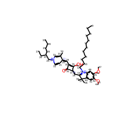 CCCCCCCCCCCC[N+]1=C(/C=C2/C(=O)C(/C=C3\C=CN(CC(CC)CCCC)C=C3C)=C2O)C(C)(C)c2cc(OC)c(OC)cc21